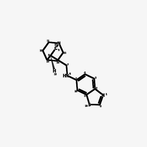 c1nc2ccc(NC[C@@H]3CN4CCC3CC4)cc2s1